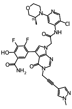 C[C@H]1COCCN1c1cc(NC(=O)Cn2cc(-c3cc(C(N)=O)c(O)c(F)c3F)c3c(=O)n(CC#Cc4cnn(C)c4)cnc32)c(Cl)cn1